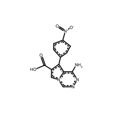 Nc1nncn2cc(C(=O)O)c(-c3ccc([N+](=O)[O-])cc3)c12